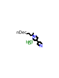 CCCCCCCCCCCCCC(C)[n+]1ccc(-c2ccncc2)cc1.Cl.[Cl-]